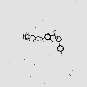 O=C(c1ccc(OC[C@H](O)Cn2ncnn2)cc1F)N1CC[C@H](c2ccc(F)cc2)C1